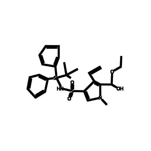 C=Cc1c(S(=O)(=O)N[Si](c2ccccc2)(c2ccccc2)C(C)(C)C)cn(C)c1C(O)OCC